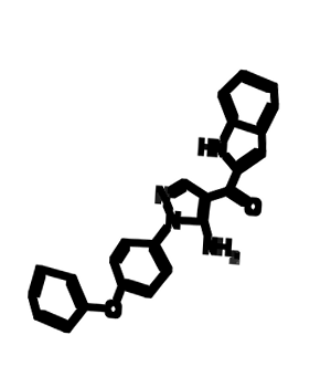 Nc1c(C(=O)c2cc3ccccc3[nH]2)cnn1-c1ccc(Oc2ccccc2)cc1